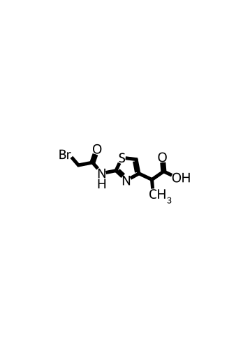 CC(C(=O)O)c1csc(NC(=O)CBr)n1